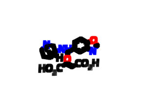 O=C(N[C@H]1CN2CCC1CC2)c1ccc2ocnc2c1.O=C(O)/C=C/C(=O)O